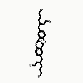 BrCCCC(CCBr)Cc1ccc2c(c1)C1Oc3ccc(CC(CCBr)CCCBr)cc3C(O2)O1